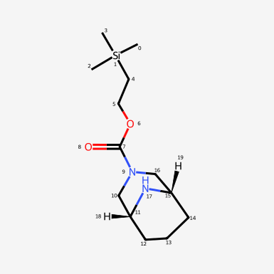 C[Si](C)(C)CCOC(=O)N1C[C@H]2CCC[C@@H](C1)N2